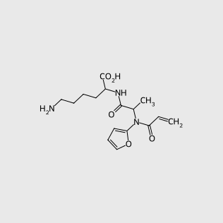 C=CC(=O)N(c1ccco1)C(C)C(=O)NC(CCCCN)C(=O)O